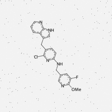 COc1ncc(CNc2ccc(Cc3c[nH]c4ncccc34)c(Cl)n2)cc1F